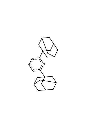 c1ncc(C23CC4CC(CC(C4)C2)C3)nc1C12CC3CC(CC(C3)C1)C2